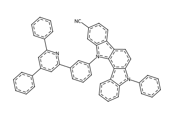 N#Cc1ccc2c3ccc4c(c5ccccc5n4-c4ccccc4)c3n(-c3cccc(-c4cc(-c5ccccc5)cc(-c5ccccc5)n4)c3)c2c1